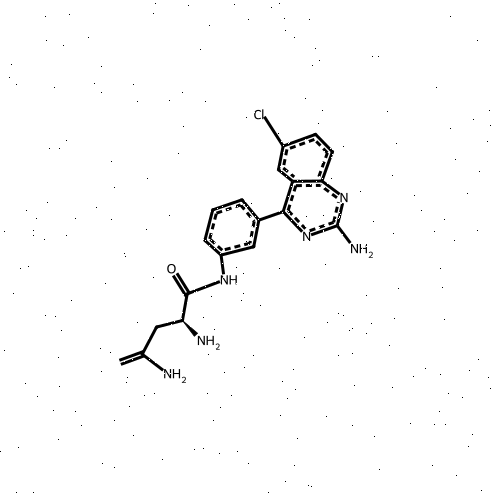 C=C(N)C[C@H](N)C(=O)Nc1cccc(-c2nc(N)nc3ccc(Cl)cc23)c1